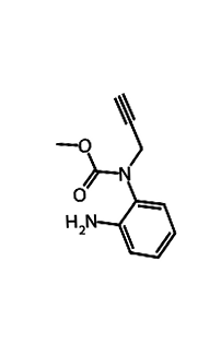 C#CCN(C(=O)OC)c1ccccc1N